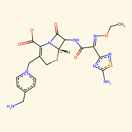 CCON=C(C(=O)NC1C(=O)N2C(C(=O)[O-])=C(C[n+]3ccc(CN)cc3)CS[C@@H]12)c1nsc(N)n1